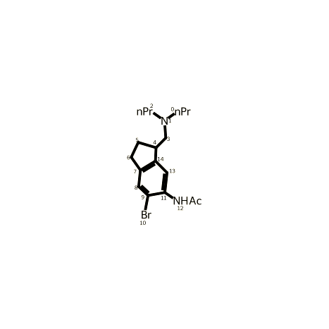 CCCN(CCC)CC1CCc2cc(Br)c(NC(C)=O)cc21